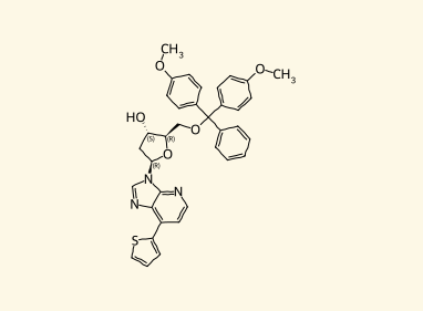 COc1ccc(C(OC[C@H]2O[C@@H](n3cnc4c(-c5cccs5)ccnc43)C[C@@H]2O)(c2ccccc2)c2ccc(OC)cc2)cc1